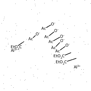 CC(=O)[O-].CC(=O)[O-].CC(=O)[O-].CC(=O)[O-].CC(=O)[O-].CC(=O)[O-].CCOC(C)=O.CCOC(C)=O.CCOC(C)=O.[Al+3].[Al+3]